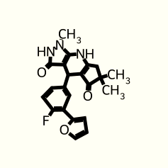 Cn1[nH]c(=O)c2c1NC1=C(C(=O)C(C)(C)C1)C2c1ccc(F)c(-c2ccco2)c1